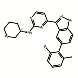 Fc1cccc(F)c1-c1ccc2[nH]nc(-c3ccnc(N[C@@H]4CCCNC4)n3)c2c1